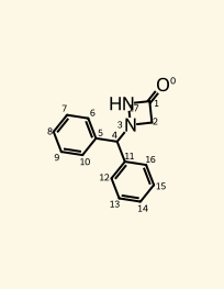 O=C1CN(C(c2ccccc2)c2ccccc2)N1